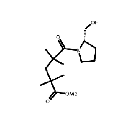 COC(=O)C(C)(C)CC(C)(C)C(=O)N1CCC[C@H]1CO